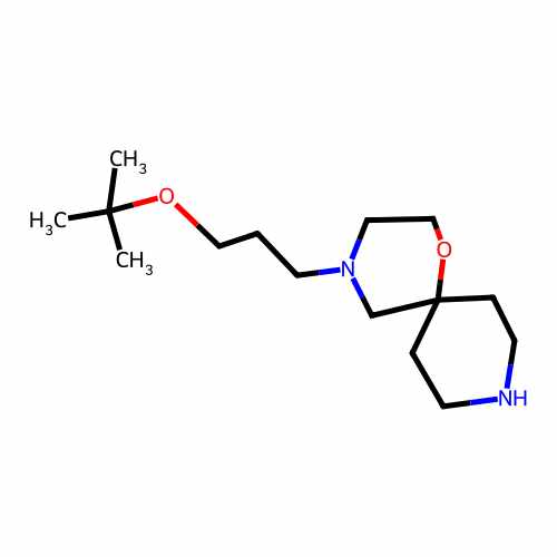 CC(C)(C)OCCCN1CCOC2(CCNCC2)C1